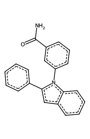 NC(=O)c1cccc(-n2c(-c3ccccc3)cc3ccccc32)c1